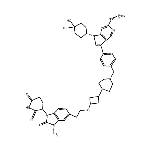 CCC[C@H](C)Nc1ncc2c(-c3ccc(CN4CCN(C5CC(OCCc6ccc7c(c6)n(C)c(=O)n7C6CCC(=O)NC6=O)C5)CC4)cc3)cn([C@H]3CC[C@@](C)(O)CC3)c2n1